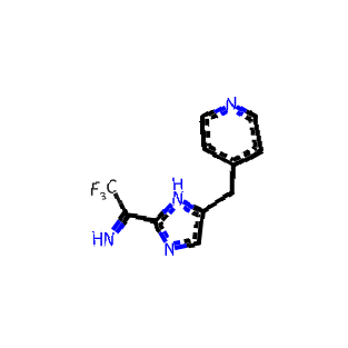 N=C(c1ncc(Cc2ccncc2)[nH]1)C(F)(F)F